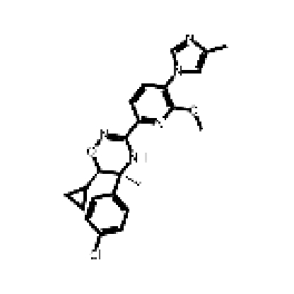 COc1nc(C2=NO[C@H](C3CC3)[C@](C)(c3ccc(Cl)cc3)N2)ccc1-n1cnc(C)c1